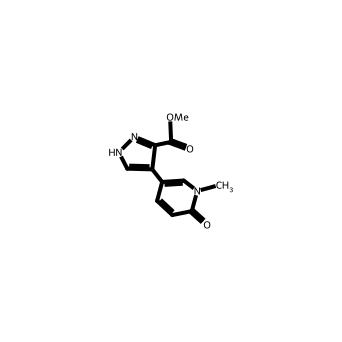 COC(=O)c1n[nH]cc1-c1ccc(=O)n(C)c1